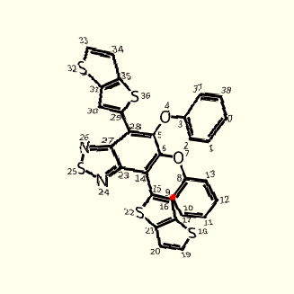 c1ccc(Oc2c(Oc3ccccc3)c(-c3cc4sccc4s3)c3nsnc3c2-c2cc3sccc3s2)cc1